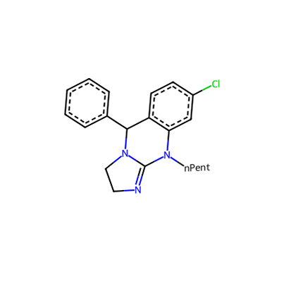 CCCCCN1C2=NCCN2C(c2ccccc2)c2ccc(Cl)cc21